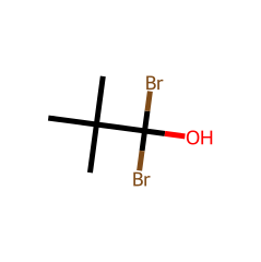 CC(C)(C)C(O)(Br)Br